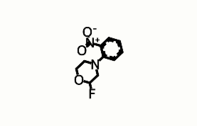 O=[N+]([O-])c1ccccc1N1CCOC(F)C1